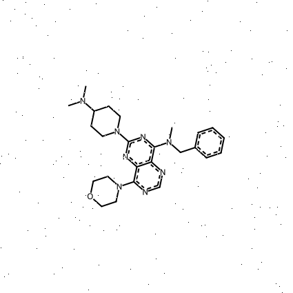 CN(Cc1ccccc1)c1nc(N2CCC(N(C)C)CC2)nc2c(N3CCOCC3)ncnc12